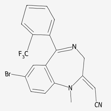 CN1C(=CC#N)CN=C(c2ccccc2C(F)(F)F)c2cc(Br)ccc21